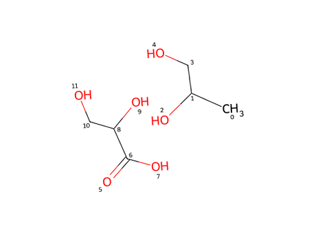 CC(O)CO.O=C(O)C(O)CO